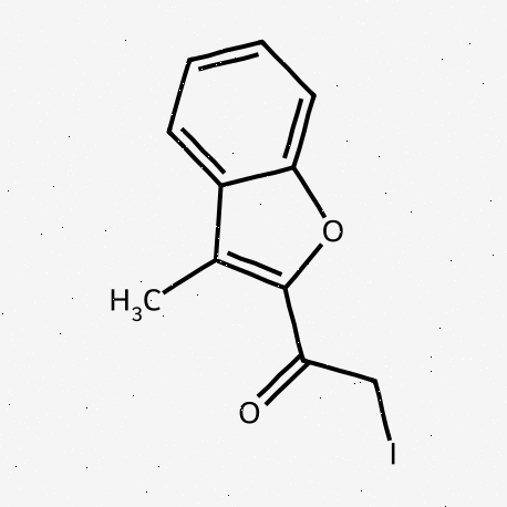 Cc1c(C(=O)CI)oc2ccccc12